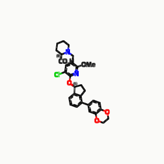 COc1nc(O[C@H]2CCc3c(-c4ccc5c(c4)OCCO5)cccc32)c(Cl)cc1CN1CCCC[C@@H]1C(=O)O